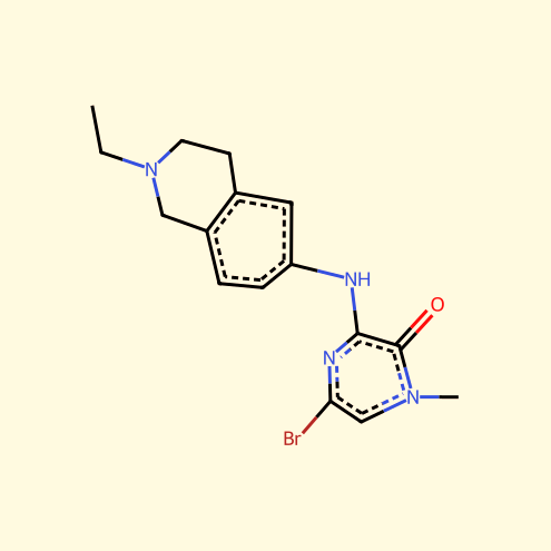 CCN1CCc2cc(Nc3nc(Br)cn(C)c3=O)ccc2C1